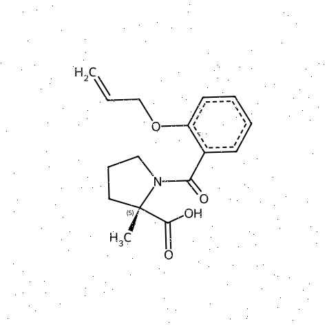 C=CCOc1ccccc1C(=O)N1CCC[C@@]1(C)C(=O)O